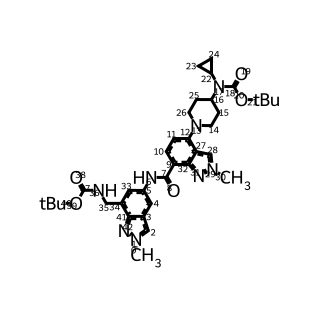 Cn1cc2cc(NC(=O)c3ccc(N4CCC(N(C(=O)OC(C)(C)C)C5CC5)CC4)c4cn(C)nc34)cc(CNC(=O)OC(C)(C)C)c2n1